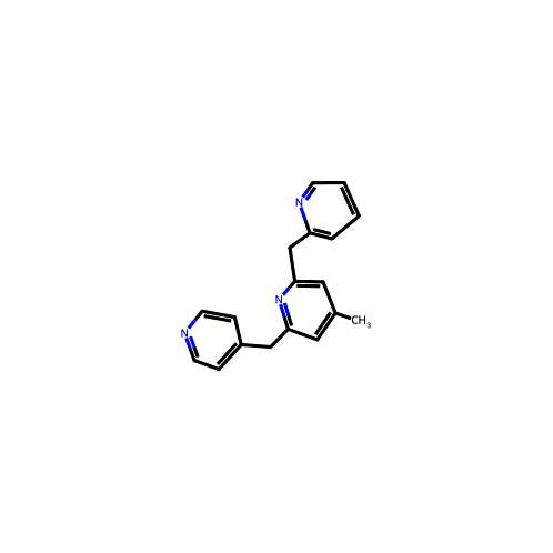 Cc1cc(Cc2ccncc2)nc(Cc2ccccn2)c1